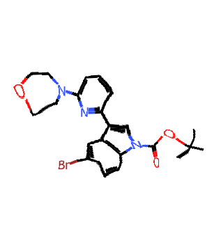 CC(C)(C)OC(=O)n1cc(-c2cccc(N3CCOCC3)n2)c2cc(Br)ccc21